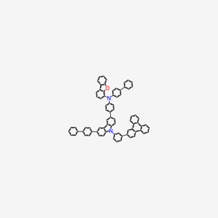 c1ccc(-c2ccc(-c3ccc4c(c3)c3cc(-c5ccc(N(c6ccc(-c7ccccc7)cc6)c6cccc7c6oc6ccccc67)cc5)ccc3n4-c3cccc(-c4ccc5c6ccccc6c6ccccc6c5c4)c3)cc2)cc1